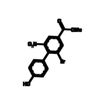 COC(=O)c1cc(Br)c(-c2ccc(O)cc2)c([N+](=O)[O-])c1